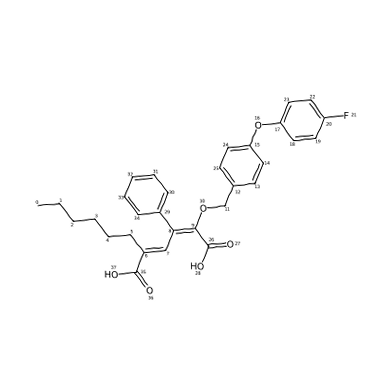 CCCCCCC(=CC(=C(OCc1ccc(Oc2ccc(F)cc2)cc1)C(=O)O)c1ccccc1)C(=O)O